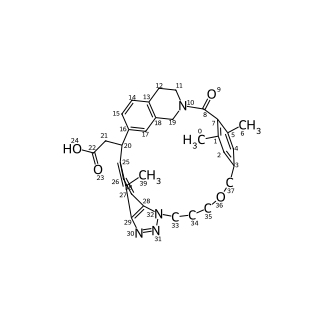 Cc1cc2cc(C)c1C(=O)N1CCc3ccc(cc3C1)C(CC(=O)O)c1ccc3c(nnn3CCCOC2)c1C